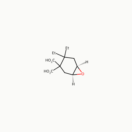 CCC1(CC)C[C@H]2O[C@H]2CC1(C(=O)O)C(=O)O